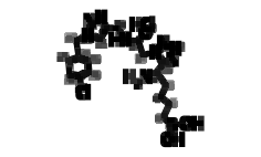 Cl.NC(CCCCB(O)O)c1nnnn1CC(=O)NCc1cn(Cc2ccc(Cl)cc2)nn1